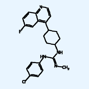 C/N=C(/Nc1ccc(Cl)cc1)NC1CCC(c2ccnc3ccc(F)cc23)CC1